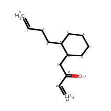 C=CCCC1CCCCC1CC(=O)C=C